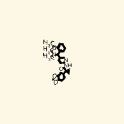 COc1ccccc1C(c1ccc(NC(=O)C2(C3=CCC4OCOC4=C3)CC2)nc1)N(C)C